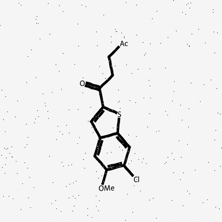 COc1cc2cc(C(=O)CCC(C)=O)sc2cc1Cl